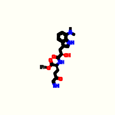 CC(C)OC(=O)[C@H](CCC(=O)C=N)NC(=O)[C@@H](O)Cc1c[nH]c2c(N(C)C)cccc12